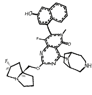 Cn1c(-c2cc(O)cc3ccccc23)c(F)c2nc(OC[C@@]34CCCN3C[C@H](F)C4)nc(N3C4CCC3CNC4)c2c1=O